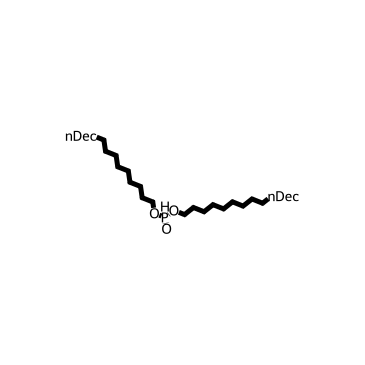 CCCCCCCCCCCCCCCCCCCO[PH](=O)OCCCCCCCCCCCCCCCCCCC